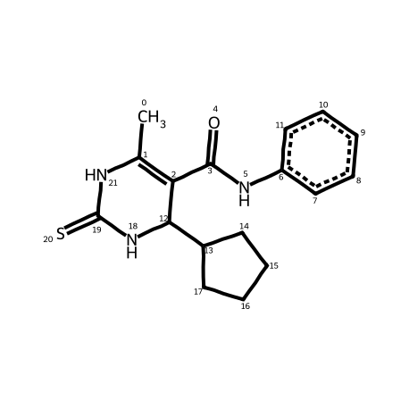 CC1=C(C(=O)Nc2ccccc2)C(C2CCCC2)NC(=S)N1